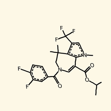 CC(C)OC(=O)C1=CN(C(=O)c2ccc(F)c(F)c2)CC(C)(C)c2c(C(F)(F)F)cn(C)c21